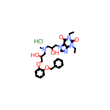 CCn1c(=O)c2c(ncn2CC(O)CN(C)CC(O)COc2ccccc2OCc2ccccc2)n(CC)c1=O.Cl